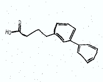 O=C(O)CCCc1cccc(-c2ccccc2)c1